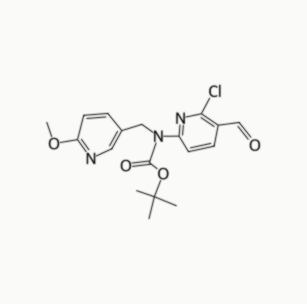 COc1ccc(CN(C(=O)OC(C)(C)C)c2ccc(C=O)c(Cl)n2)cn1